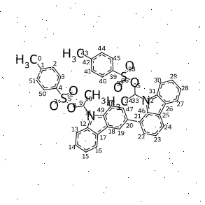 Cc1ccc(S(=O)(=O)OC(C)n2c3ccccc3c3cc(-c4cccc5c6ccccc6n(C(C)OS(=O)(=O)c6ccc(C)cc6)c45)ccc32)cc1